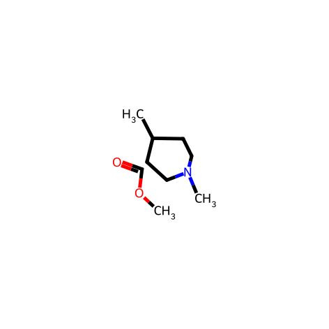 CC1CCN(C)CC1.COC=O